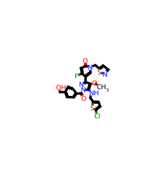 COc1c(-c2cn(Cc3ccns3)c(=O)cc2F)nn(C(=O)c2ccc(CO)cc2)c1NCc1ccc(Cl)s1